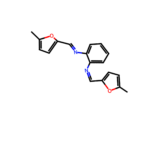 Cc1ccc(/C=N\c2ccccc2/N=C/c2ccc(C)o2)o1